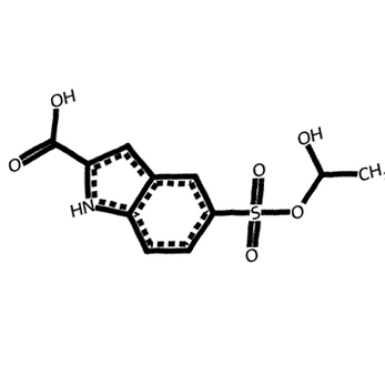 CC(O)OS(=O)(=O)c1ccc2[nH]c(C(=O)O)cc2c1